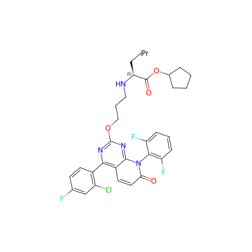 CC(C)C[C@H](NCCCOc1nc(-c2ccc(F)cc2Cl)c2ccc(=O)n(-c3c(F)cccc3F)c2n1)C(=O)OC1CCCC1